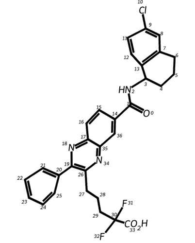 O=C(NC1CCCc2cc(Cl)ccc21)c1ccc2nc(-c3ccccc3)c(CCCC(F)(F)C(=O)O)nc2c1